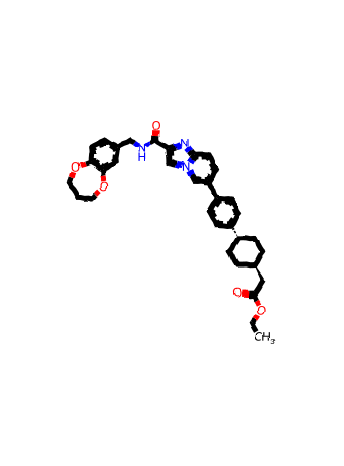 CCOC(=O)C[C@H]1CC[C@H](c2ccc(-c3ccc4nc(C(=O)NCc5ccc6c(c5)OCCCO6)cn4c3)cc2)CC1